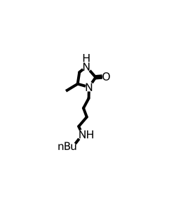 CCCCNCCCCN1C(=O)NCC1C